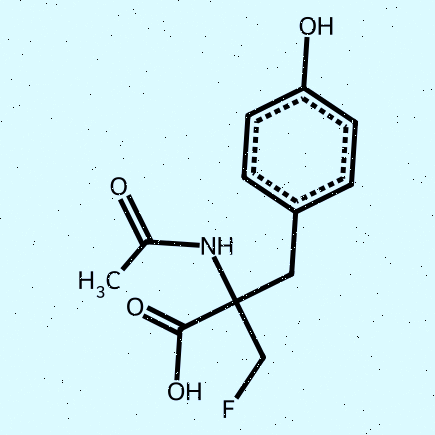 CC(=O)NC(CF)(Cc1ccc(O)cc1)C(=O)O